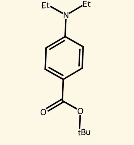 CCN(CC)c1ccc(C(=O)OC(C)(C)C)cc1